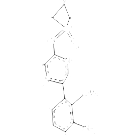 COc1c(N)cccc1-c1cnc(N=S2(=O)CCC2)cn1